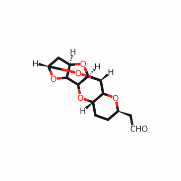 O=CC[C@H]1CC[C@@H]2OC3C4O[C@@H]5C[C@H]4O[C@H]3[C@@H](O5)C2O1